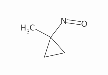 CC1(N=O)CC1